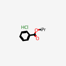 CC(C)OC(=O)c1ccccc1.Cl